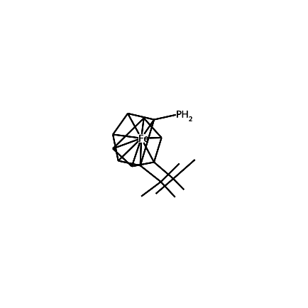 CC(C)(C)[C]12[CH]3[CH]4[CH]5[CH]1[Fe]45321678[CH]2[CH]1[C]6(P)[C]7(C(C)(C)C)[CH]28